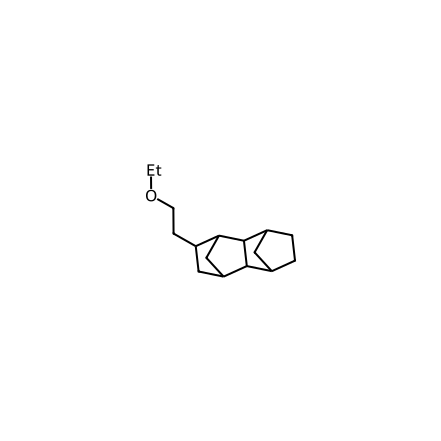 CCOCCC1CC2CC1C1C3CCC(C3)C21